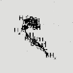 CSSC(C)c1cc(NC(=O)COCCOCCN)ccc1C(=O)OCCCCC(=O)NCC#Cc1cn([C@H]2CC(OC(=O)c3ccccc3C(C)N=[N+]=[N-])[C@@H](COP(=O)(O)OP(=O)(O)OP(=O)(O)O)O2)c(=O)nc1N